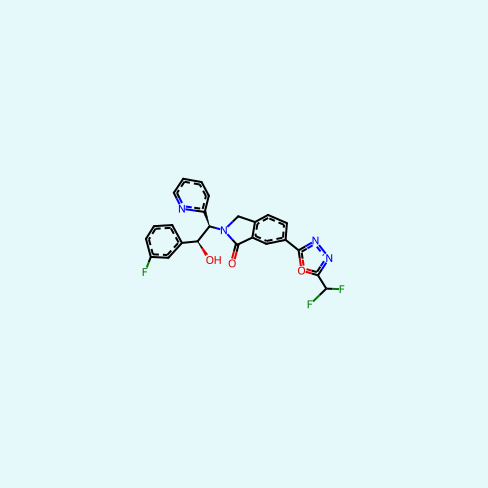 O=C1c2cc(-c3nnc(C(F)F)o3)ccc2CN1[C@H](c1ccccn1)[C@@H](O)c1cccc(F)c1